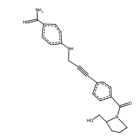 N=C(N)c1ccc(NCC#Cc2ccc(C(=O)N3CCCC3CO)cc2)cc1